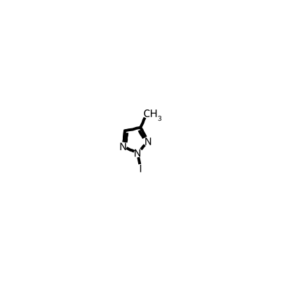 Cc1cnn(I)n1